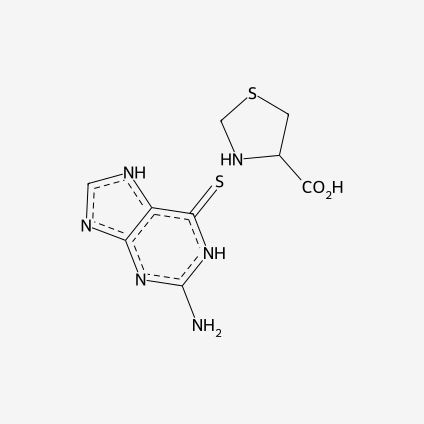 Nc1nc2nc[nH]c2c(=S)[nH]1.O=C(O)C1CSCN1